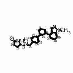 Cn1ncc2c(-c3cccc(-c4ccc(CNC[C@@H]5CCC(=O)N5)cc4)c3)cccc21